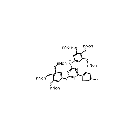 [CH2]c1ccc(-c2nc(Nc3cc(SCCCCCCCCC)c(SCCCCCCCCC)c(SCCCCCCCCC)c3)nc(Nc3cc(SCCCCCCCCC)c(SCCCCCCCCC)c(SCCCCCCCCC)c3)n2)cc1